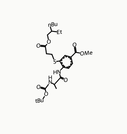 CCCCC(CC)COC(=O)CCSc1cc(C(=O)OC)ccc1NC(=O)C(C)NC(=O)OC(C)(C)C